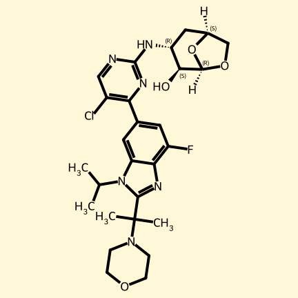 CC(C)n1c(C(C)(C)N2CCOCC2)nc2c(F)cc(-c3nc(N[C@@H]4C[C@H]5CO[C@H](O5)[C@H]4O)ncc3Cl)cc21